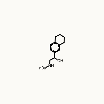 CCCCNCC(O)c1ccc2c(c1)CCCC2